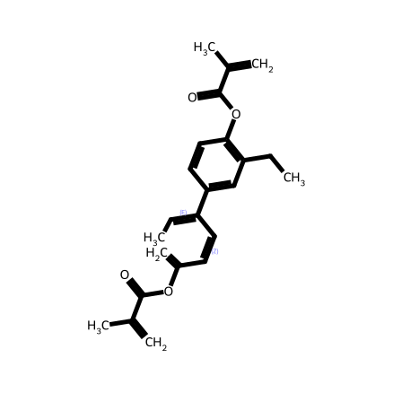 C=C(/C=C\C(=C/C)c1ccc(OC(=O)C(=C)C)c(CC)c1)OC(=O)C(=C)C